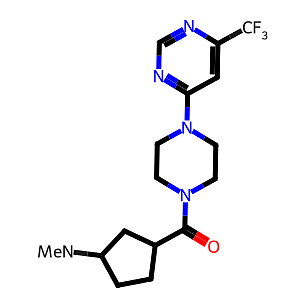 CNC1CCC(C(=O)N2CCN(c3cc(C(F)(F)F)ncn3)CC2)C1